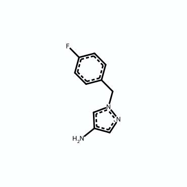 Nc1cnn(Cc2ccc(F)cc2)c1